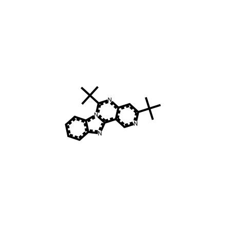 CC(C)(C)c1cc2nc(C(C)(C)C)n3c4ccccc4nc3c2cn1